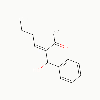 CCCCCCCCCCCC/C=C(\C(=O)OC)C(O)c1ccccc1